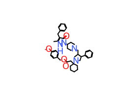 COc1ccc(COC(=O)CC2(N3CC(CN4CCC(n5[nH]c(C)c(Cc6ccccc6)c5=O)CC4)C(c4ccccc4)C3)CCCCC2)cc1